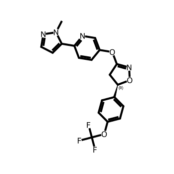 Cn1nccc1-c1ccc(OC2=NO[C@@H](c3ccc(OC(F)(F)F)cc3)C2)cn1